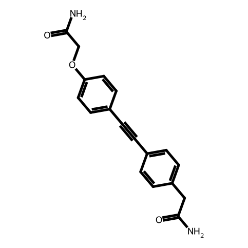 NC(=O)COc1ccc(C#Cc2ccc(CC(N)=O)cc2)cc1